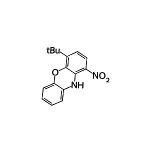 CC(C)(C)c1ccc([N+](=O)[O-])c2c1Oc1ccccc1N2